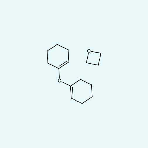 C1=C(OC2=CCCCC2)CCCC1.C1COC1